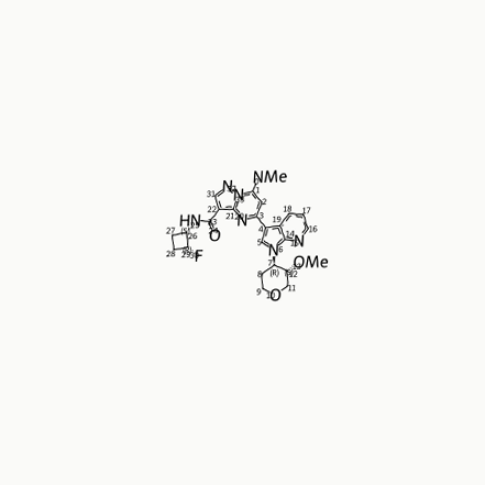 CNc1cc(-c2cn([C@@H]3CCOC[C@H]3OC)c3ncccc23)nc2c(C(=O)N[C@H]3CC[C@H]3F)cnn12